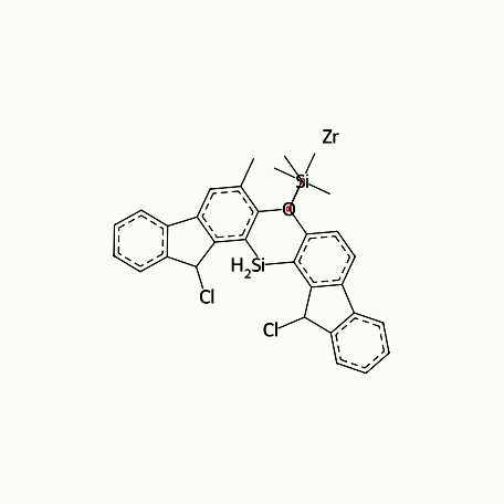 CCCc1ccc2c(c1[SiH2]c1c(O[Si](C)(C)C)c(C)cc3c1C(Cl)c1ccccc1-3)C(Cl)c1ccccc1-2.[Zr]